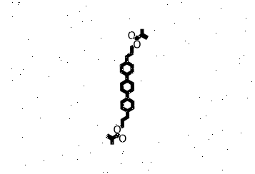 C=C(C)C(=O)OCCCC1CCC(C2CCC(C3CCC(CCCOC(=O)C(=C)C)CC3)CC2)CC1